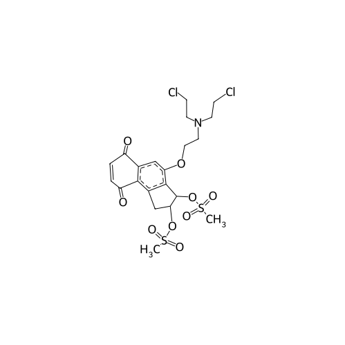 CS(=O)(=O)OC1Cc2c3c(cc(OCCN(CCCl)CCCl)c2C1OS(C)(=O)=O)C(=O)C=CC3=O